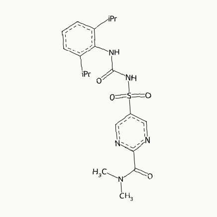 CC(C)c1cccc(C(C)C)c1NC(=O)NS(=O)(=O)c1cnc(C(=O)N(C)C)nc1